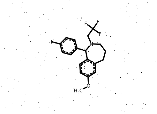 COc1ccc2c(c1)CCCN(CC(F)(F)F)C2c1ccc(I)cc1